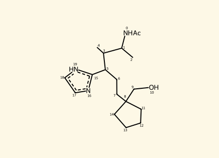 CC(=O)NC(C)C(C)C(CCC1(CO)CCCC1)c1ncc[nH]1